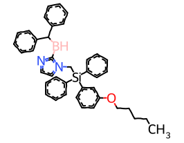 CCCCCOc1cccc([Si](Cn2ccnc2BC(c2ccccc2)c2ccccc2)(c2ccccc2)c2ccccc2)c1